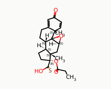 CCC(=O)O[C@]1(C(O)=S)CC[C@H]2[C@@H]3CCC4=CC(=O)C=C[C@]4(C)[C@@]34O[C@H]4C[C@@]21C